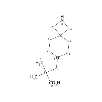 CC(C)(CN1CCC2(CC1)CNC2)C(=O)O